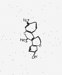 Oc1ccc2c(c1)OC(O)C1=C2CCOc2cc(O)ccc21